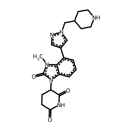 Cn1c(=O)n(C2CCC(=O)NC2=O)c2cccc(-c3cnn(CC4CCNCC4)c3)c21